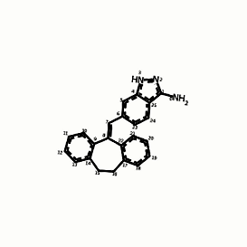 Nc1n[nH]c2cc(C=C3c4ccccc4CCc4ccccc43)ccc12